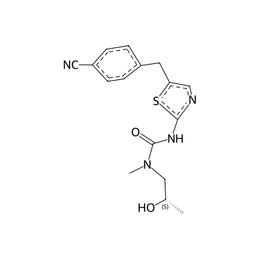 C[C@H](O)CN(C)C(=O)Nc1ncc(Cc2ccc(C#N)cc2)s1